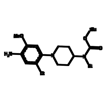 CCc1cc(N)c(OC)cc1N1CCC(N(CC)C(=O)OC(C)(C)C)CC1